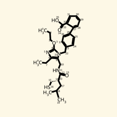 CCCOc1nc(CC)c(CNC(=O)[C@@H](CS)CC(C)C)n1Cc1ccc(-c2ccccc2C(=O)O)cc1